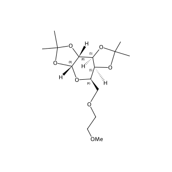 COCCOC[C@H]1O[C@@H]2OC(C)(C)O[C@@H]2[C@H]2OC(C)(C)O[C@H]21